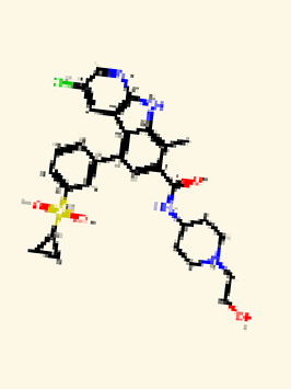 Cc1c(C(=O)NC2CCN(CCO)CC2)cc(-c2cccc(S(=O)(=O)C3CC3)c2)c2c1[nH]c1ncc(Cl)cc12